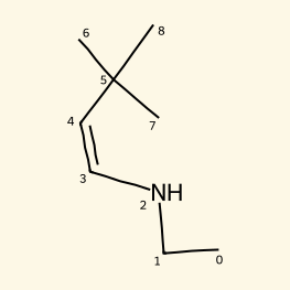 CCN/C=C\C(C)(C)C